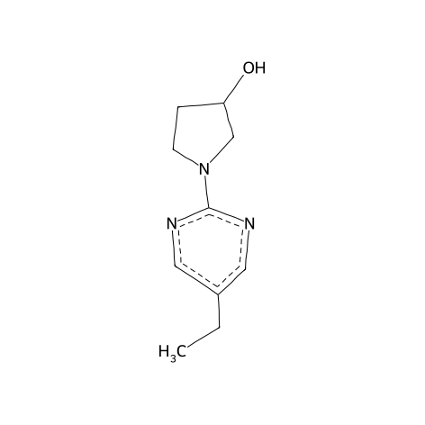 CCc1cnc(N2CCC(O)C2)nc1